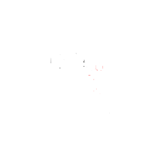 O=C(OCOC1CCCCC1)C1CC2CC1C1C3C=CC(C3)C21